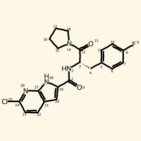 O=C(N[C@@H](Cc1ccc(F)cc1)C(=O)N1CCCC1)c1cc2ccc(Cl)nc2[nH]1